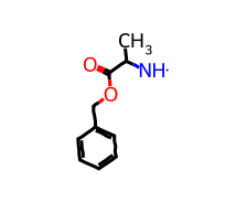 CC([NH])C(=O)OCc1ccccc1